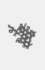 C=CC(=O)N1C[C@@H]2C(=O)N(C)c3c(c4cc(Cl)c(-c5c(O)cccc5F)nc4n(-c4ncsc4C(C)C)c3=O)N2C[C@H]1C